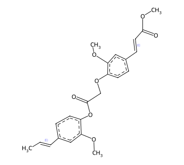 C/C=C/c1ccc(OC(=O)COc2ccc(/C=C/C(=O)OC)cc2OC)c(OC)c1